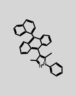 Cc1nn(-c2ccccc2)c(C)c1-c1c2ccccc2c(-c2cccc3ccccc23)c2ccccc12